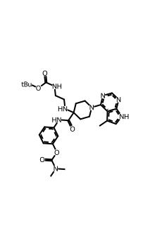 Cc1c[nH]c2ncnc(N3CCC(NCCNC(=O)OC(C)(C)C)(C(=O)Nc4cccc(OC(=O)N(C)C)c4)CC3)c12